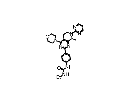 CCNC(=O)Nc1ccc(-c2nc3c(c(N4CCOCC4)n2)CCN(c2ncccn2)C3C)cc1